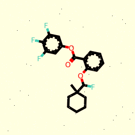 CC1(C(F)Oc2ccccc2C(=O)Oc2cc(F)c(F)c(F)c2)CCCCC1